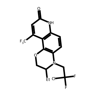 CCC1COc2c(ccc3[nH]c(=O)cc(C(F)(F)F)c23)N1CC(F)(F)Cl